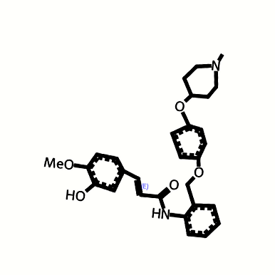 COc1ccc(/C=C/C(=O)Nc2ccccc2COc2ccc(OC3CCN(C)CC3)cc2)cc1O